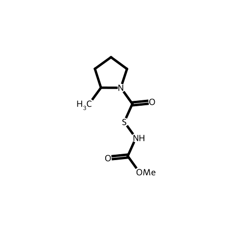 COC(=O)NSC(=O)N1CCCC1C